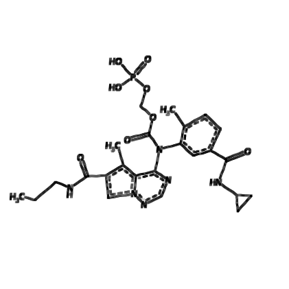 CCCNC(=O)c1cn2ncnc(N(C(=O)OCOP(=O)(O)O)c3cc(C(=O)NC4CC4)ccc3C)c2c1C